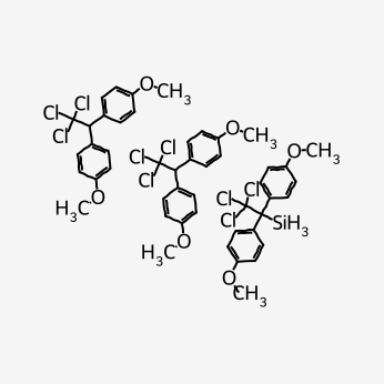 COc1ccc(C([SiH3])(c2ccc(OC)cc2)C(Cl)(Cl)Cl)cc1.COc1ccc(C(c2ccc(OC)cc2)C(Cl)(Cl)Cl)cc1.COc1ccc(C(c2ccc(OC)cc2)C(Cl)(Cl)Cl)cc1